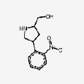 O=[N+]([O-])c1ccccc1C1CNC(CO)C1